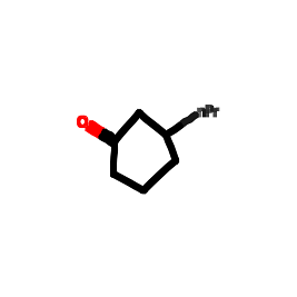 [CH2]CCC1CCCC(=O)C1